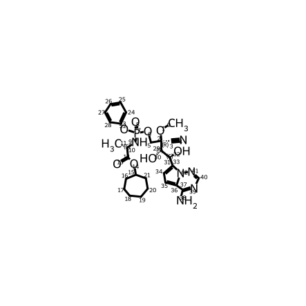 CO[C@](C#N)(COP(=O)(N[C@@H](C)C(=O)OC1CCCCCC1)Oc1ccccc1)[C@@H](O)[C@@H](O)c1ccc2c(N)ncnn12